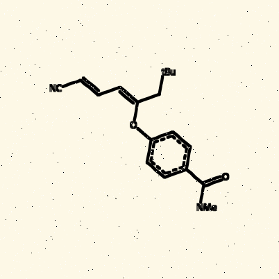 CNC(=O)c1ccc(O/C(=C\C=C\C#N)CC(C)(C)C)cc1